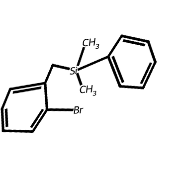 C[Si](C)(Cc1ccccc1Br)c1ccccc1